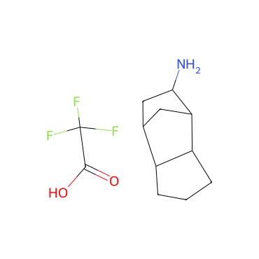 NC1CC2CC1C1CCCC21.O=C(O)C(F)(F)F